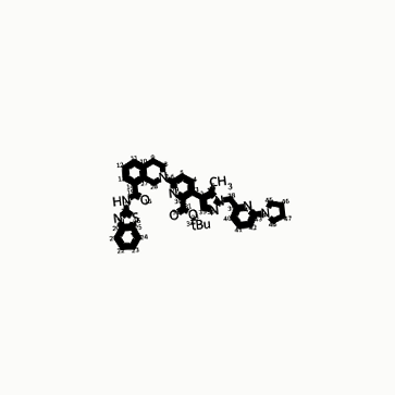 Cc1c(-c2ccc(N3CCc4cccc(C(=O)Nc5nc6ccccc6s5)c4C3)nc2C(=O)OC(C)(C)C)cnn1Cc1cccc(N2CCCC2)n1